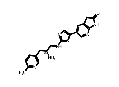 N[C@H](CNc1ncc(-c2cnc3c(c2)CC(=O)N3)s1)Cc1ccc(C(F)(F)F)nc1